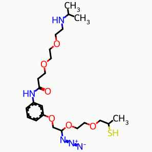 CC(S)COCCOC(COc1cccc(NC(=O)CCOCCOCCNC(C)C)c1)N=[N+]=[N-]